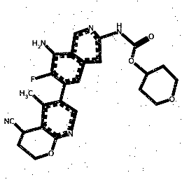 Cc1c(-c2cc3cc(NC(=O)OC4CCOCC4)ncc3c(N)c2F)cnc2c1C(C#N)CCO2